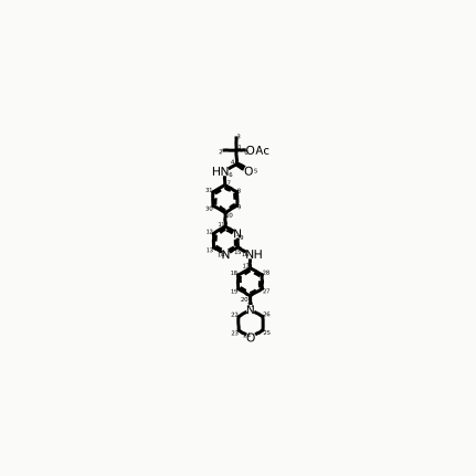 CC(=O)OC(C)(C)C(=O)Nc1ccc(-c2ccnc(Nc3ccc(N4CCOCC4)cc3)n2)cc1